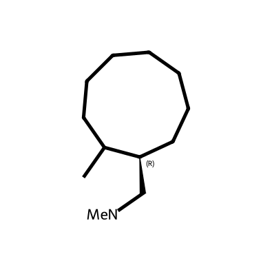 CNC[C@@H]1CCCCCCCC1C